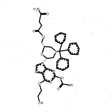 CC(C)C(=O)Nc1nc(OCCC#N)c2ncn([C@H]3CN(C(c4ccccc4)(c4ccccc4)c4ccccc4)C[C@@H](COC(=O)CCC(N)=O)O3)c2n1